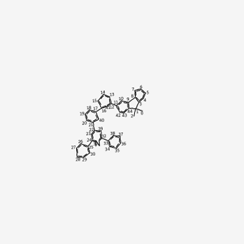 CC1(C)c2ccccc2-c2cc(-c3cccc(-c4cccc(-c5cc(-c6ccccc6)nc(-c6ccccc6)c5)c4)c3)ccc21